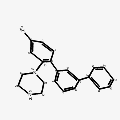 [2H]c1ccc(-c2cccc(-c3ccccc3)c2)c(N2CCNCC2)c1